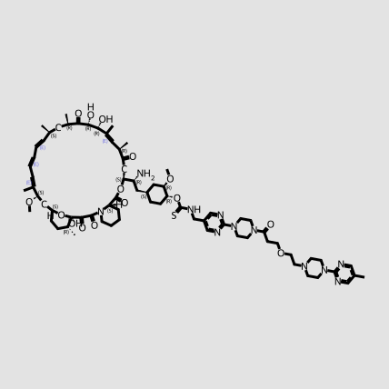 CO[C@H]1C[C@@H]2CC[C@@H](C)[C@@](O)(O2)C(=O)C(=O)N2CCCC[C@H]2C(=O)O[C@H]([C@H](N)C[C@@H]2CC[C@@H](OC(=S)NCc3cnc(N4CCN(C(=O)CCOCCN5CCN(c6ncc(C)cn6)CC5)CC4)nc3)[C@H](OC)C2)CC(=O)[C@H](C)/C=C(\C)[C@@H](O)[C@@H](O)C(=O)[C@H](C)C[C@H](C)/C=C/C=C/C=C/1C